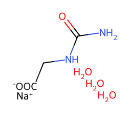 NC(=O)NCC(=O)[O-].O.O.O.[Na+]